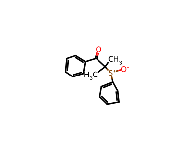 CC(C)(C(=O)c1ccccc1)[S+]([O-])c1ccccc1